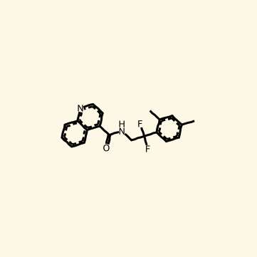 Cc1ccc(C(F)(F)CNC(=O)c2ccnc3ccccc23)c(C)c1